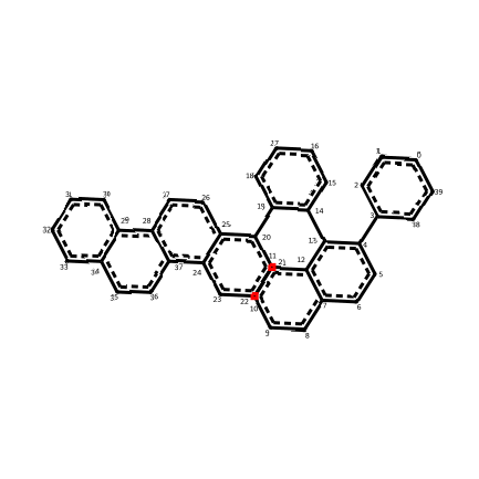 c1ccc(-c2ccc3ccccc3c2-c2ccccc2-c2cccc3c2ccc2c4ccccc4ccc32)cc1